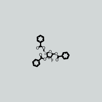 O=C(OC[C@@H]1OC(OC(=O)c2ccccc2)[C@H](F)[C@H]1OC(=O)c1ccccc1)c1ccccc1